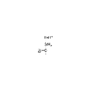 [BaH+].[OH-].[SrH2].[Zr]